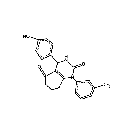 N#Cc1ccc(C2NC(=O)N(c3cccc(C(F)(F)F)c3)C3=C2C(=O)CCC3)cn1